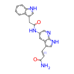 NC(=O)/C=C/c1c[nH]c2ncc(NC(=O)Cc3c[nH]c4ccccc34)cc12